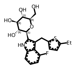 CCc1ccc(Cc2c([C@@H]3O[C@H](CO)[C@@H](O)[C@H](O)[C@H]3O)[nH]c3cccc(F)c23)s1